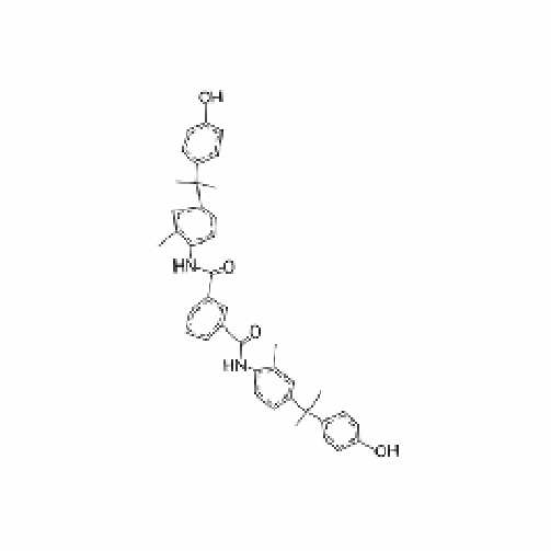 Cc1cc(C(C)(C)c2ccc(O)cc2)ccc1NC(=O)c1cccc(C(=O)Nc2ccc(C(C)(C)c3ccc(O)cc3)cc2C)c1